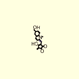 C=C1C(=O)C(=O)C(/C=C2\C=CC3=C(C=CC(CO)C3)N2C)=C1O